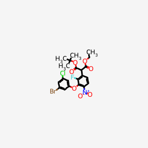 CCOC(=O)C(C(=O)OC(C)(C)C)c1ccc([N+](=O)[O-])c(Oc2cc(Cl)cc(Br)c2)c1F